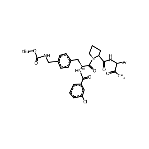 CC(C)C(NC(=O)C1CCCN1C(=O)[C@H](Cc1ccc(CNC(=O)OC(C)(C)C)cc1)NC(=O)c1cccc(Cl)c1)C(=O)C(F)(F)F